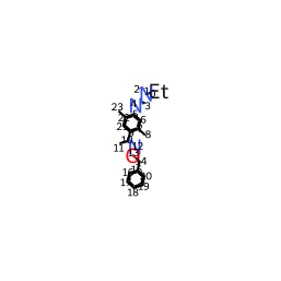 CCN(C)C=Nc1cc(C)c(C(C)=NOCc2ccccc2)cc1C